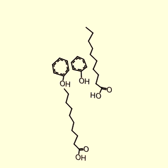 CCCCCCCCCC(=O)O.CCCCCCCCCC(=O)O.Oc1ccccc1.Oc1ccccc1